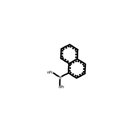 CCCN(CCC)c1cccc2[c]cccc12